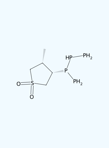 C[C@H]1CS(=O)(=O)C[C@H]1P(P)PP